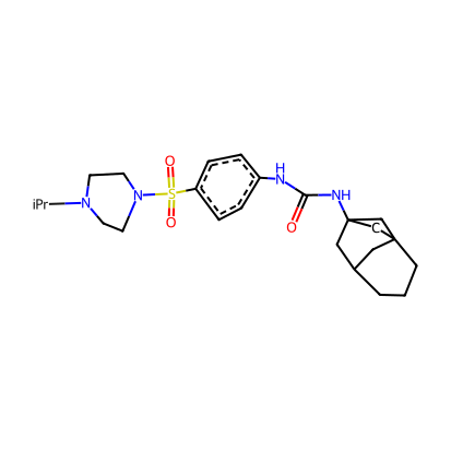 CC(C)N1CCN(S(=O)(=O)c2ccc(NC(=O)NC34CC5CCCC(C5)(C3)C4)cc2)CC1